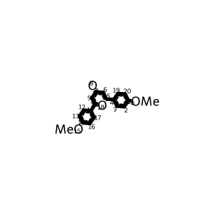 COc1ccc(-c2cc(=O)cc(-c3ccc(OC)cc3)o2)cc1